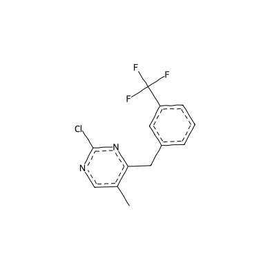 Cc1cnc(Cl)nc1Cc1cccc(C(F)(F)F)c1